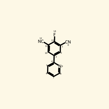 N#Cc1cc(-c2ccccn2)cc(C#N)c1F